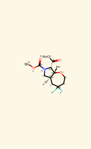 COC(=O)[C@@H]1[C@@H]2OCCC(F)(F)C[C@H]2CN1C(=O)OC(C)(C)C